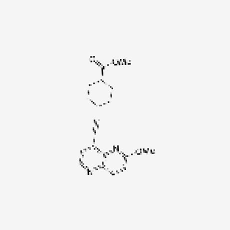 COc1ccc2nccc(C#C[C@H]3CC[C@H](C(=O)OC)CC3)c2n1